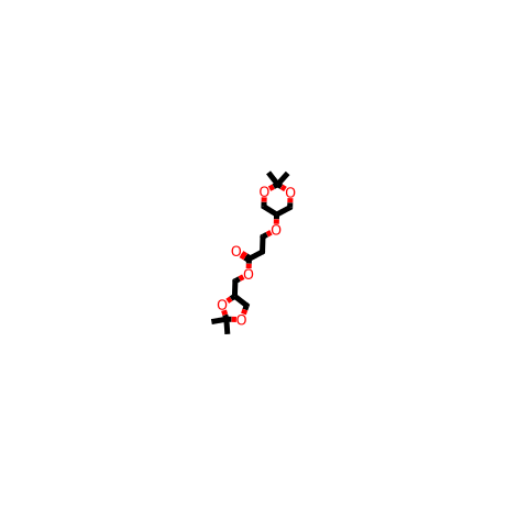 CC1(C)OCC(OCCC(=O)OCC2COC(C)(C)O2)CO1